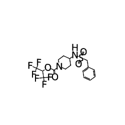 O=C(OC(C(F)(F)F)C(F)(F)F)N1CCC(NS(=O)(=O)Cc2ccccc2)CC1